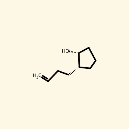 C=CCC[C@H]1CCC[C@H]1O